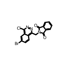 O=C1c2ccccc2C(=O)N1Cc1nnc(Cl)c2cc(Br)ccc12